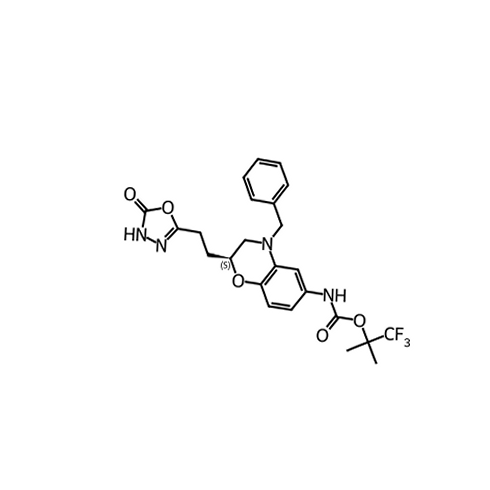 CC(C)(OC(=O)Nc1ccc2c(c1)N(Cc1ccccc1)C[C@H](CCc1n[nH]c(=O)o1)O2)C(F)(F)F